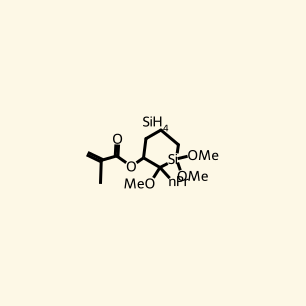 C=C(C)C(=O)OC1CCC[Si](OC)(OC)C1(CCC)OC.[SiH4]